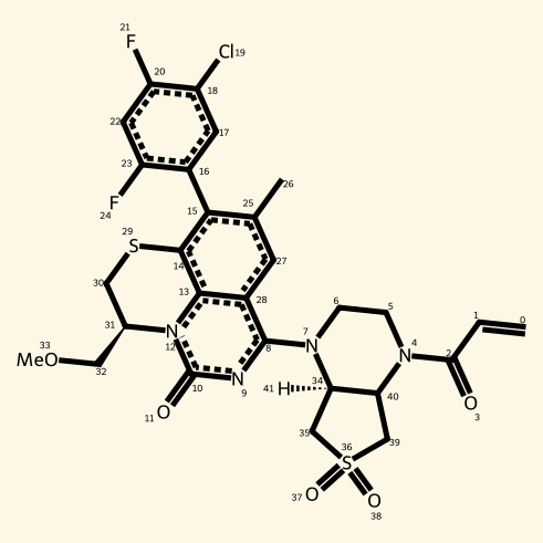 C=CC(=O)N1CCN(c2nc(=O)n3c4c(c(-c5cc(Cl)c(F)cc5F)c(C)cc24)SC[C@@H]3COC)[C@@H]2CS(=O)(=O)CC21